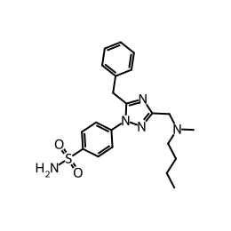 CCCCN(C)Cc1nc(Cc2ccccc2)n(-c2ccc(S(N)(=O)=O)cc2)n1